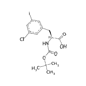 CC(C)(C)OC(=O)N[C@@H](Cc1cc(Cl)cc(I)c1)C(=O)O